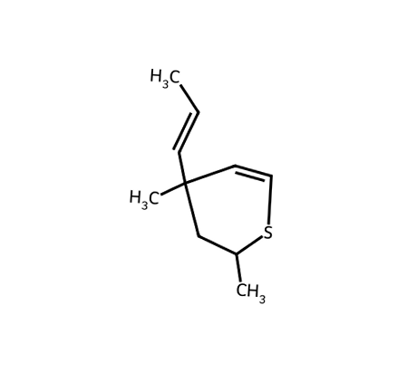 CC=CC1(C)C=CSC(C)C1